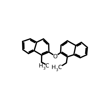 CCc1c(Oc2ccc3ccccc3c2CC)ccc2ccccc12